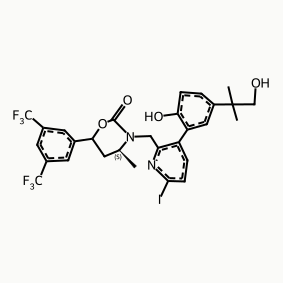 C[C@H]1CC(c2cc(C(F)(F)F)cc(C(F)(F)F)c2)OC(=O)N1Cc1nc(I)ccc1-c1cc(C(C)(C)CO)ccc1O